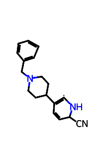 N#CC1C=CC(C2CCN(Cc3ccccc3)CC2)=[C]N1